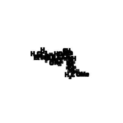 CCC(C)(C)Cc1cc2n(c1)CCN(c1nccc(-c3cc(Nc4cc5n(n4)CCN([C@H](C)COC)C5)c(=O)n(C)c3)c1CO)C2=O